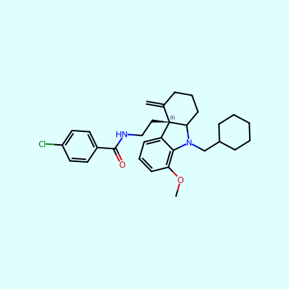 C=C1CCCC2N(CC3CCCCC3)c3c(OC)cccc3[C@]12CCNC(=O)c1ccc(Cl)cc1